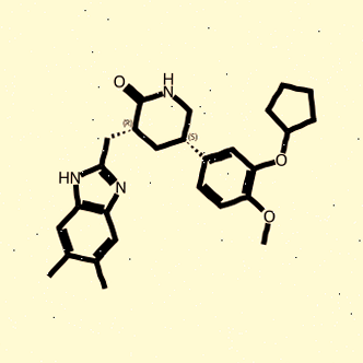 COc1ccc([C@H]2CNC(=O)[C@@H](Cc3nc4cc(C)c(C)cc4[nH]3)C2)cc1OC1CCCC1